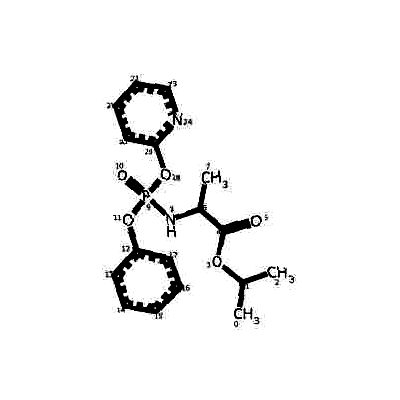 CC(C)OC(=O)C(C)NP(=O)(Oc1ccccc1)Oc1ccccn1